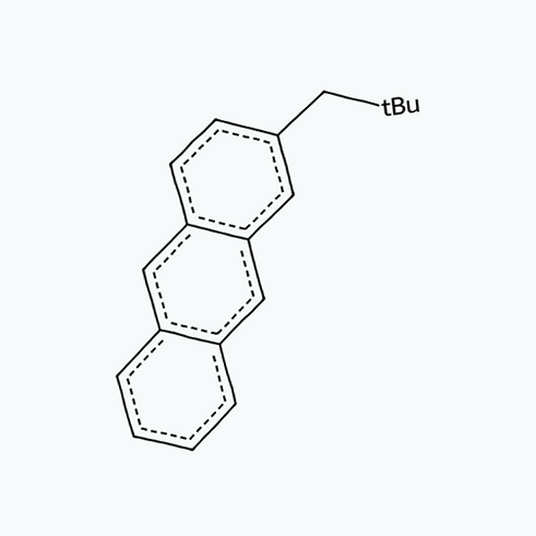 CC(C)(C)Cc1ccc2cc3ccccc3cc2c1